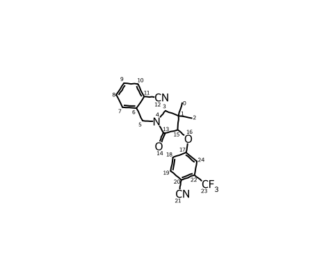 CC1(C)CN(Cc2ccccc2C#N)C(=O)C1Oc1ccc(C#N)c(C(F)(F)F)c1